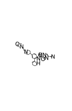 N#Cc1c[nH]c(OC(=O)Nc2ccc(C3CCN(CCN4CCOCC4)CC3)cc2C2=CCCCC2)n1